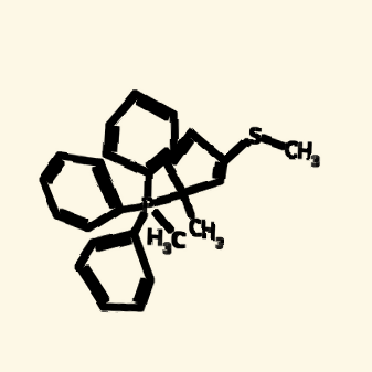 CSC1=CC(C)(P(C)(c2ccccc2)(c2ccccc2)c2ccccc2)C=C1